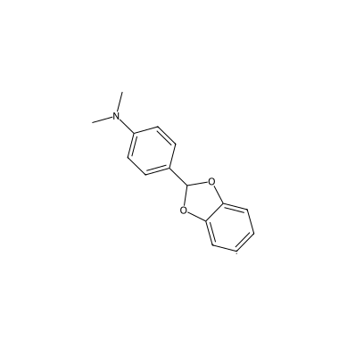 CN(C)c1ccc(C2Oc3c[c]ccc3O2)cc1